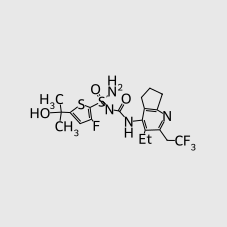 CCc1c(CC(F)(F)F)nc2c(c1NC(=O)N=[S@](N)(=O)c1sc(C(C)(C)O)cc1F)CCC2